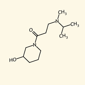 CC(C)N(C)CCC(=O)N1CCCC(O)C1